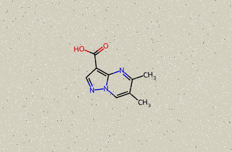 Cc1cn2ncc(C(=O)O)c2nc1C